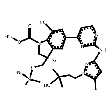 Cc1cc(Nc2nccc(-c3cc(C#N)c4c(c3)[C@@](C)(CO[Si](C)(C)C(C)(C)C)CN4C(=O)OC(C)(C)C)n2)nn1CCC(C)(C)O